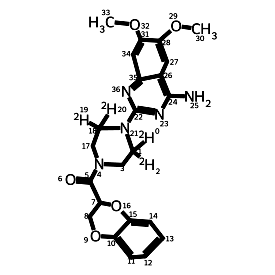 [2H]C1([2H])CN(C(=O)C2COc3ccccc3O2)CC([2H])([2H])N1c1nc(N)c2cc(OC)c(OC)cc2n1